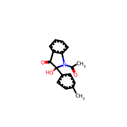 CC(=O)N1c2ccccc2C(=O)C1(O)c1ccc(C)cc1